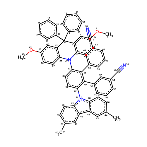 COc1ccc2c(c1)C(c1ccccc1)(c1ccccc1)c1cc(OC)ccc1N2c1ccc(-n2c3ccc(C)cc3c3cc(C)ccc32)c(-c2cccc(C#N)c2)c1-c1cccc(C#N)c1